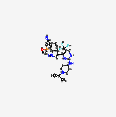 CC(C)N1CCC(Nc2ncc(C(F)(F)F)c(-c3c[nH]c4c(P(C)(C)=O)c(C#N)ccc34)n2)CC1